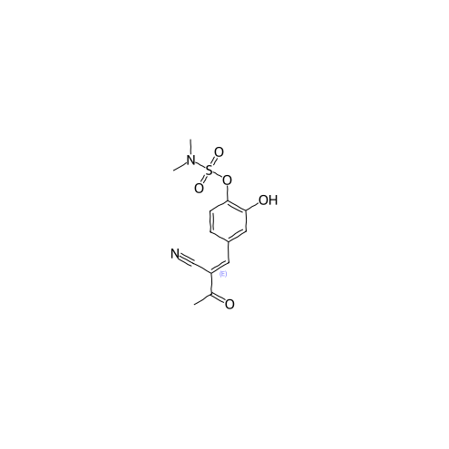 CC(=O)/C(C#N)=C/c1ccc(OS(=O)(=O)N(C)C)c(O)c1